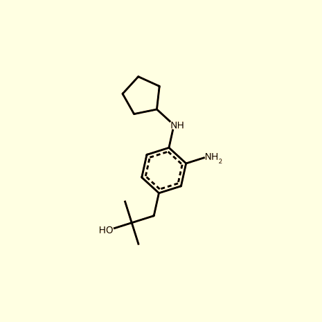 CC(C)(O)Cc1ccc(NC2CCCC2)c(N)c1